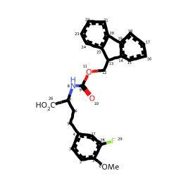 COc1ccc(CCC(NC(=O)OCC2c3ccccc3-c3ccccc32)C(=O)O)cc1F